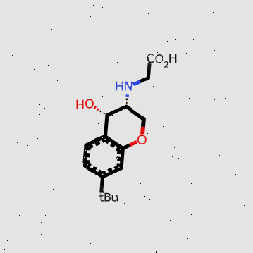 CC(C)(C)c1ccc2c(c1)OC[C@@H](NCC(=O)O)[C@H]2O